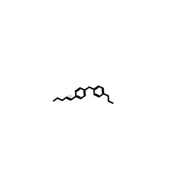 CCC/C=C/c1ccc(Cc2ccc(CCC)cc2)cc1